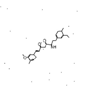 CCC1=CC(CCC(=N)C(=O)CC(=O)C=CC2C=C(OC)C(C)=CC2)=CCC1C